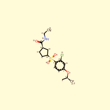 C[C@@H](Oc1ccc(S(=O)(=O)C2CC[C@@H](C(=O)NCC#N)C2)c(Cl)c1)C(F)(F)F